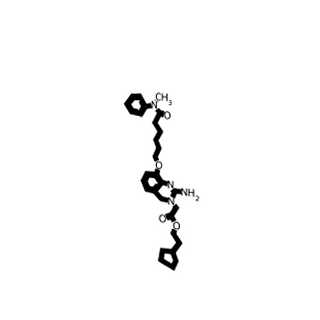 CN(C(=O)CCCCCOc1cccc2c1N=C(N)N(CC(=O)OCCC1CCCC1)C2)c1ccccc1